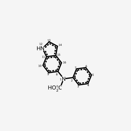 O=C(O)N(c1ccccc1)c1ccc2[nH]ccc2c1